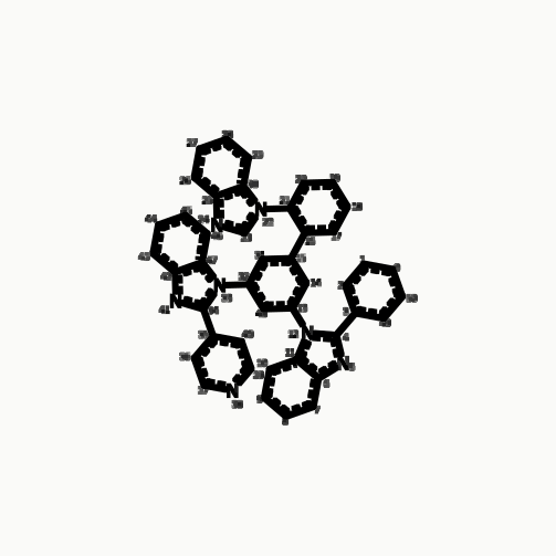 c1ccc(-c2nc3ccccc3n2-c2cc(-c3ccccc3-n3cnc4ccccc43)cc(-n3c(-c4ccncc4)nc4ccccc43)c2)cc1